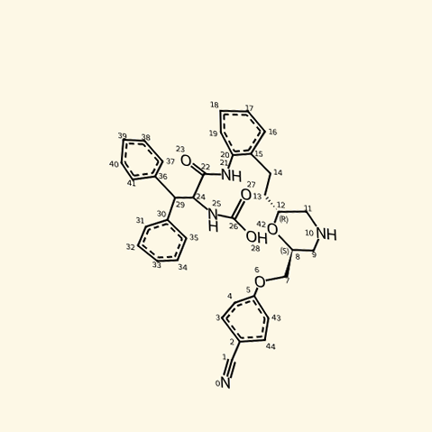 N#Cc1ccc(OC[C@@H]2CNC[C@@H](CCc3ccccc3NC(=O)C(NC(=O)O)C(c3ccccc3)c3ccccc3)O2)cc1